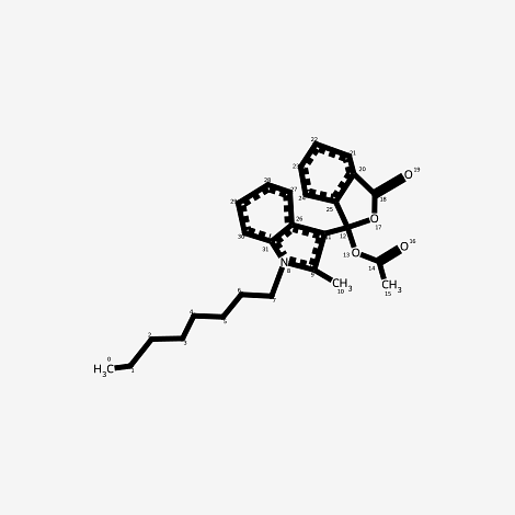 CCCCCCCCn1c(C)c(C2(OC(C)=O)OC(=O)c3ccccc32)c2ccccc21